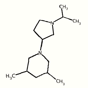 CC1CC(C)CN(C2CCN(C(C)C)C2)C1